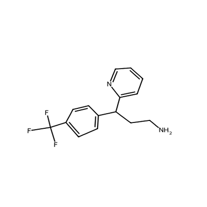 NCCC(c1ccc(C(F)(F)F)cc1)c1ccccn1